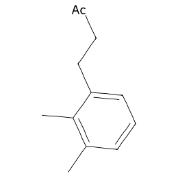 CC(=O)CCc1cccc(C)c1C